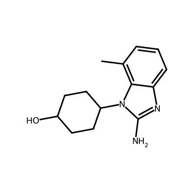 Cc1cccc2nc(N)n(C3CCC(O)CC3)c12